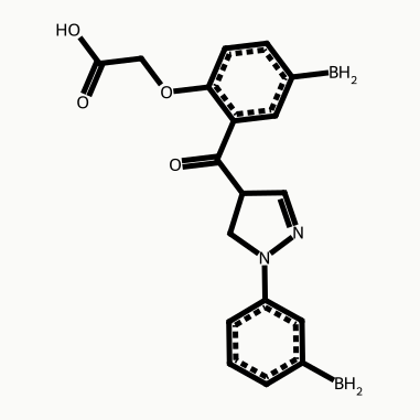 Bc1cccc(N2CC(C(=O)c3cc(B)ccc3OCC(=O)O)C=N2)c1